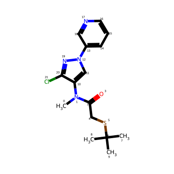 CN(C(=O)CSC(C)(C)C)c1cn(-c2cccnc2)nc1Cl